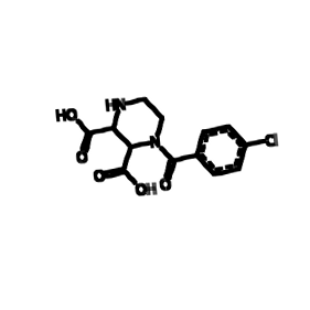 O=C(O)C1NCCN(C(=O)c2ccc(Cl)cc2)C1C(=O)O